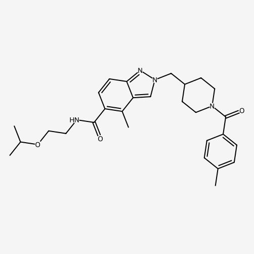 Cc1ccc(C(=O)N2CCC(Cn3cc4c(C)c(C(=O)NCCOC(C)C)ccc4n3)CC2)cc1